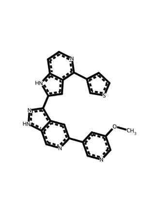 COc1cncc(-c2cc3c(-c4cc5c(-c6ccsc6)nccc5[nH]4)n[nH]c3cn2)c1